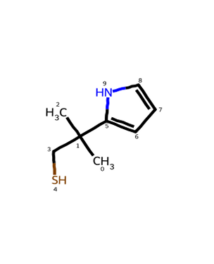 CC(C)(CS)c1ccc[nH]1